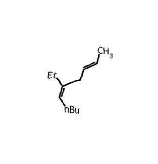 CC=CCC(=CCCCC)CC